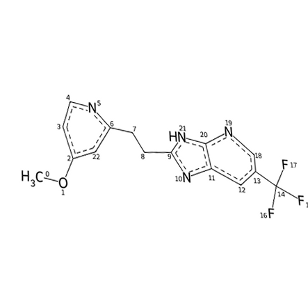 COc1ccnc(CCc2nc3cc(C(F)(F)F)cnc3[nH]2)c1